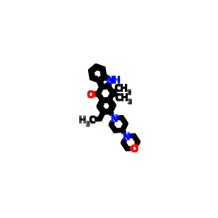 CCc1cc2c(cc1N1CCC(N3CCOCC3)CC1)C(C)(C)c1[nH]c3ccccc3c1C2=O